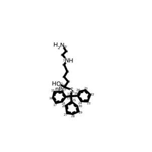 CCCC(O)(CCCCNCCN)SC(c1ccccc1)(c1ccccc1)c1ccccc1